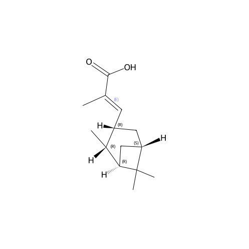 C/C(=C\[C@@H]1C[C@H]2C[C@H]([C@@H]1C)C2(C)C)C(=O)O